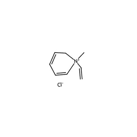 C=C[N+]1(C)C=CC=CC1.[Cl-]